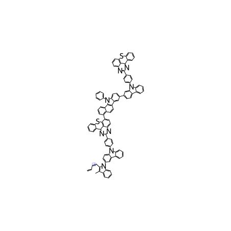 C=C/C=C\c1c(C)c2ccccc2n1-c1ccc2c(c1)c1ccccc1n2-c1ccc(-c2nc3c4c(c(-c5cccc6c5ccc5c7cc(-c8ccc9c%10ccccc%10n(-c%10ccc(-c%11nc%12c%13c(cccc%13n%11)Sc%11ccccc%11-%12)cc%10)c9c8)ccc7n(-c7ccccc7)c65)ccc4n2)Sc2ccccc2-3)cc1